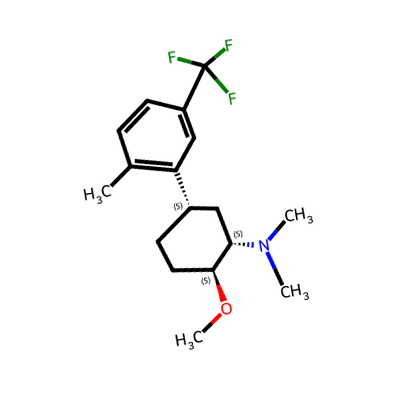 CO[C@H]1CC[C@H](c2cc(C(F)(F)F)ccc2C)C[C@@H]1N(C)C